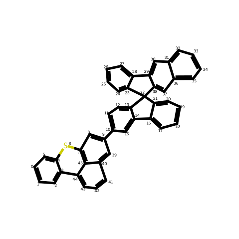 c1ccc2c(c1)Sc1cc(-c3ccc4c(c3)-c3ccccc3C43c4ccccc4-c4cc5ccccc5cc43)cc3cccc-2c13